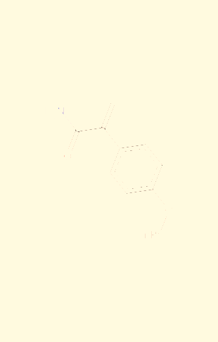 C=C(C(N)=O)c1ccc(OCCC)cc1